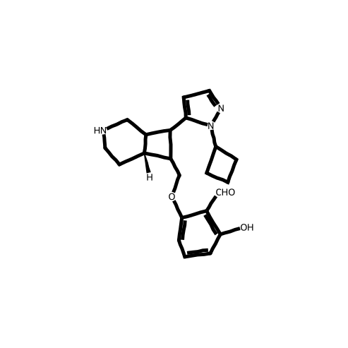 O=Cc1c(O)cccc1OCC1C(c2ccnn2C2CCC2)C2CNCC[C@H]21